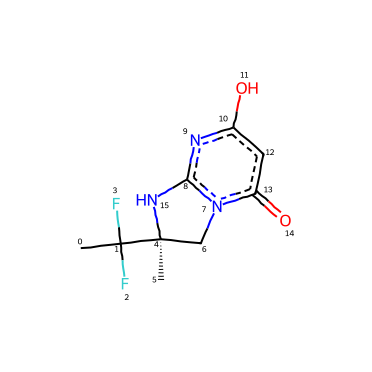 CC(F)(F)[C@]1(C)Cn2c(nc(O)cc2=O)N1